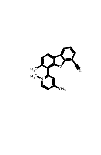 Cc1cc[n+](C)c(-c2c(C)ccc3c2oc2c(C#N)cccc23)c1